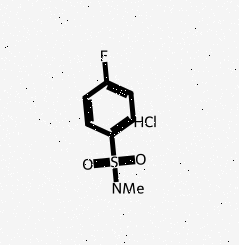 CNS(=O)(=O)c1ccc(F)cc1.Cl